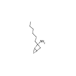 CCCCCCC1(N)CC2CC21